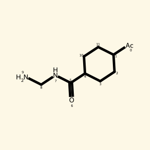 CC(=O)C1CCC(C(=O)NCN)CC1